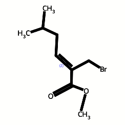 COC(=O)/C(=C/CC(C)C)CBr